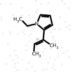 C/C=C(\C)c1cccn1CC